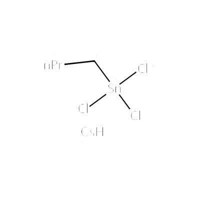 CCC[CH2][Sn]([Cl])([Cl])[Cl].[CsH]